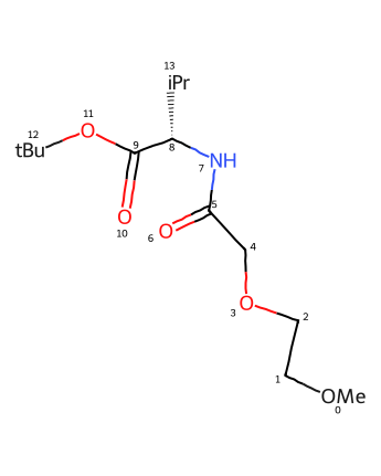 COCCOCC(=O)N[C@H](C(=O)OC(C)(C)C)C(C)C